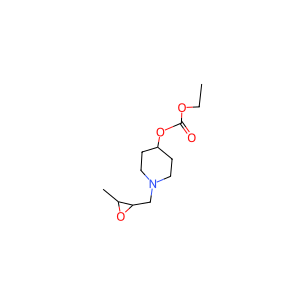 CCOC(=O)OC1CCN(CC2OC2C)CC1